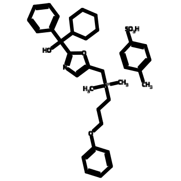 C[N+](C)(CCCOc1ccccc1)Cc1cnc(C(O)(c2ccccc2)C2CCCCC2)o1.Cc1ccc(S(=O)(=O)O)cc1